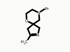 CC1=NCC2(C1)CN(C(C)C)CCO2